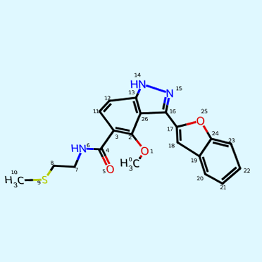 COc1c(C(=O)NCCSC)ccc2[nH]nc(-c3cc4ccccc4o3)c12